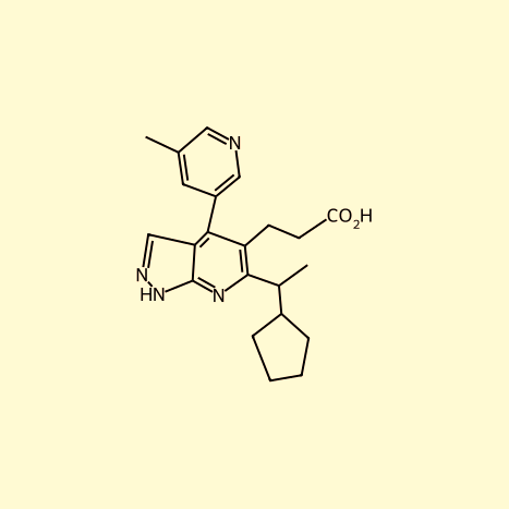 Cc1cncc(-c2c(CCC(=O)O)c(C(C)C3CCCC3)nc3[nH]ncc23)c1